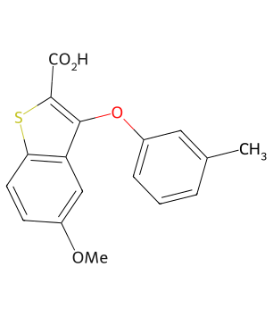 COc1ccc2sc(C(=O)O)c(Oc3cccc(C)c3)c2c1